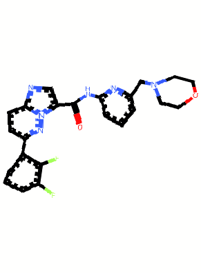 O=C(Nc1cccc(CN2CCOCC2)n1)c1cnc2ccc(-c3cccc(F)c3F)nn12